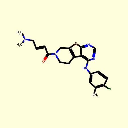 Cc1cc(Nc2ncnc3sc4c(c23)CCN(C(=O)/C=C/CN(C)C)C4)ccc1F